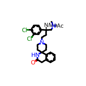 CN[C@](CCN1CCC2(CC1)NC(=O)Cc1ccccc12)(CN(C)C(C)=O)c1ccc(Cl)c(Cl)c1